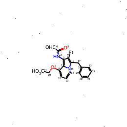 CCc1c(NC(=O)C=O)c2c(OCC(=O)O)cccn2c1Cc1ccccc1